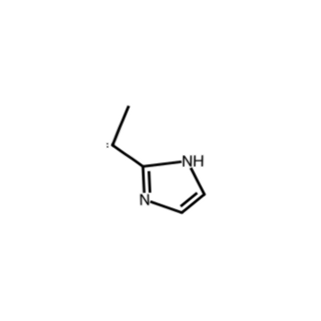 C[C]c1ncc[nH]1